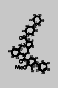 COc1c(C(=O)N2Cc3ccc(C(=O)N4CCC(N5CCCCC5)CC4)n3Cc3ccccc32)ccc(-c2ccccc2)c1C